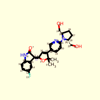 CC1(C)O/C(=C2/C(=O)Nc3ccc(F)cc32)C=C1c1ccc(N2[C@H](CO)CC[C@@H]2CO)nc1